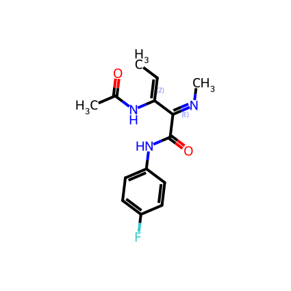 C/C=C(NC(C)=O)/C(=N\C)C(=O)Nc1ccc(F)cc1